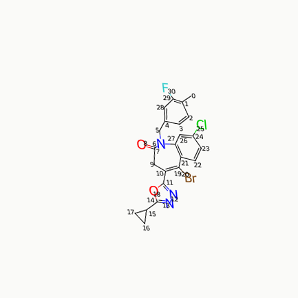 Cc1ccc(CN2C(=O)CC(c3nnc(C4CC4)o3)=C(Br)c3ccc(Cl)cc32)cc1F